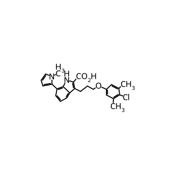 Cc1cc(OCCCc2c(C(=O)O)[nH]c3c(-c4cccn4C)cccc23)cc(C)c1Cl